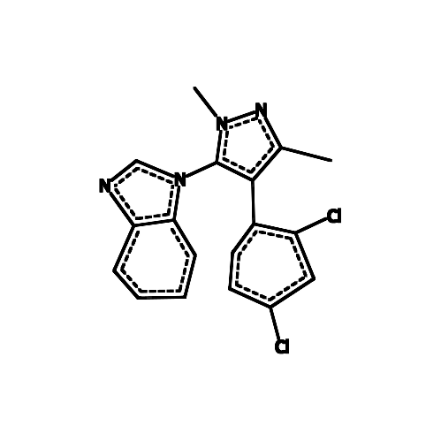 Cc1nn(C)c(-n2cnc3ccccc32)c1-c1ccc(Cl)cc1Cl